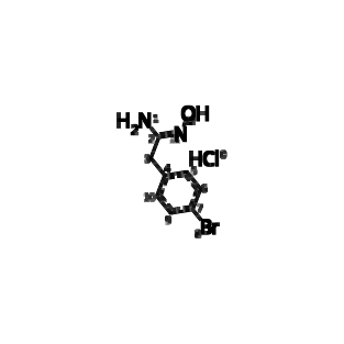 Cl.NC(Cc1ccc(Br)cc1)=NO